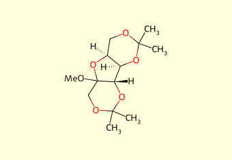 COC12COC(C)(C)O[C@H]1[C@@H]1OC(C)(C)OC[C@@H]1O2